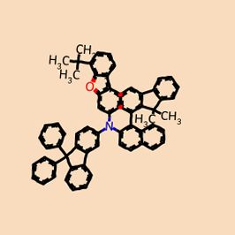 CC(C)(C)c1cccc2c1oc1cc(N(c3ccc4c(c3)-c3ccccc3C4(c3ccccc3)c3ccccc3)c3ccc4ccccc4c3-c3cccc4c3C(C)(C)c3ccccc3-4)ccc12